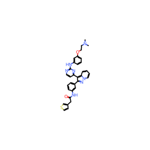 CN(C)CCOc1cccc(Nc2nccc(-c3c(-c4cccc(NC(=O)Cc5ccsc5)c4)nn4ccccc34)n2)c1